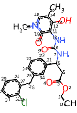 CCOC(=O)CC(NC(=O)Nc1c(O)c(C)cn(C)c1=O)c1cccc(Cc2ccccc2Cl)c1